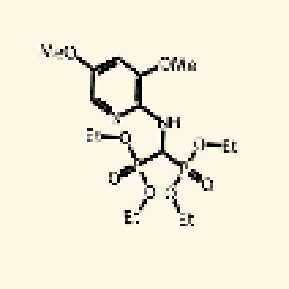 CCOP(=O)(OCC)C(Nc1ncc(OC)cc1OC)P(=O)(OCC)OCC